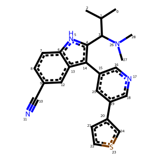 CC(C)C(c1[nH]c2ccc(C#N)cc2c1-c1cncc(-c2ccsc2)c1)N(C)C